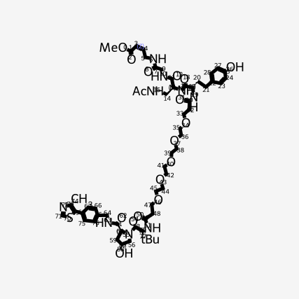 COC(=O)/C=C\CNC(=O)CNC(=O)[C@H](CNC(C)=O)NC(=O)[C@H](CCc1ccc(O)cc1)NC(=O)CCOCCOCCOCCOCCOCCC(=O)N[C@H](C(=O)N1C[C@H](O)C[C@H]1C(=O)NCc1ccc(-c2scnc2C)cc1)C(C)(C)C